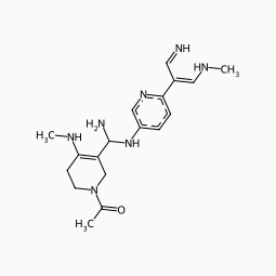 CN/C=C(\C=N)c1ccc(NC(N)C2=C(NC)CCN(C(C)=O)C2)cn1